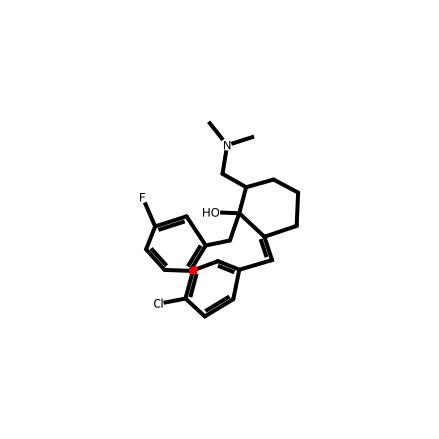 CN(C)CC1CCC/C(=C/c2ccc(Cl)cc2)C1(O)Cc1cccc(F)c1